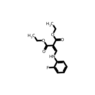 CCOC(=O)C(=CNc1ccccc1F)C(=O)OCC